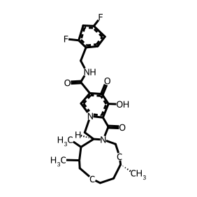 CC1CCCC[C@@H](C)CCN2C(=O)c3c(O)c(=O)c(C(=O)NCc4ccc(F)cc4F)cn3C[C@@H]2C1C